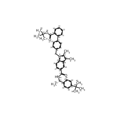 Cc1c(C)n(Cc2ccc(-c3ccccc3C(=O)OC(C)(C)C)cc2)c2ccc(C(=O)N[C@@H](C)c3ccc(C(C)(C)C)cc3)cc12